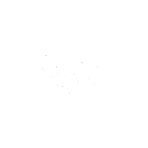 CCOC(=O)c1cc2c(cn1)[nH]c1ccc(N3CCCCC3=O)cc12